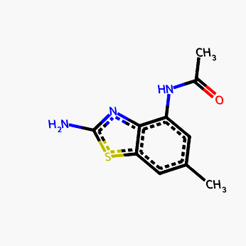 CC(=O)Nc1cc(C)cc2sc(N)nc12